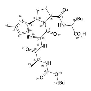 CCC(C)C(NC(=O)[C@@H]1CC[C@H](c2ccc(C)o2)N1C(=O)[C@@H](NC(=O)[C@H](C)NC(=O)OC(C)(C)C)C(C)C)C(=O)O